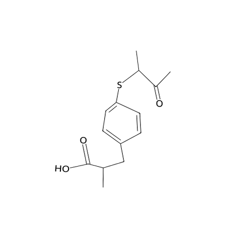 CC(=O)C(C)Sc1ccc(CC(C)C(=O)O)cc1